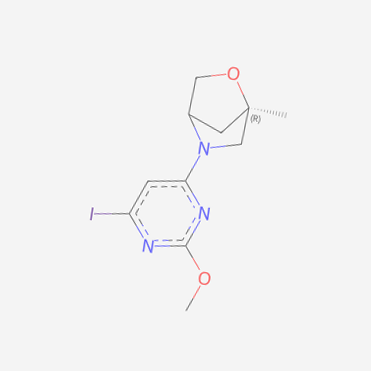 COc1nc(I)cc(N2C[C@@]3(C)CC2CO3)n1